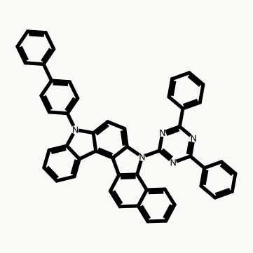 c1ccc(-c2ccc(-n3c4ccccc4c4c5c6ccc7ccccc7c6n(-c6nc(-c7ccccc7)nc(-c7ccccc7)n6)c5ccc43)cc2)cc1